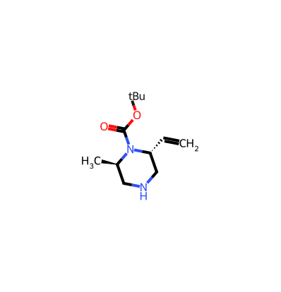 C=C[C@@H]1CNC[C@@H](C)N1C(=O)OC(C)(C)C